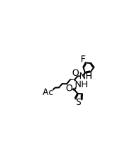 CC(=O)CCCCC[C@H](NC(=O)c1ccsc1)C(=O)Nc1cccc(F)c1